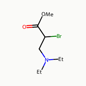 CCN(CC)CC(Br)C(=O)OC